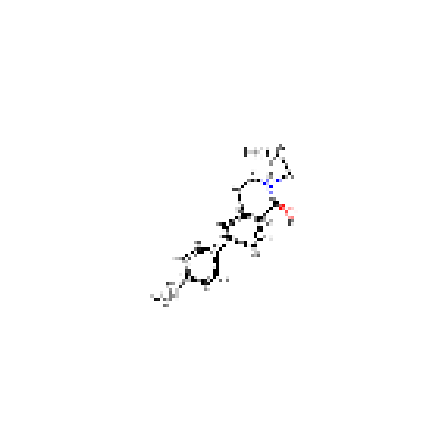 CCOC(=O)CN1CCc2cc(-c3ccc([N+](=O)[O-])cc3)ccc2C1=O